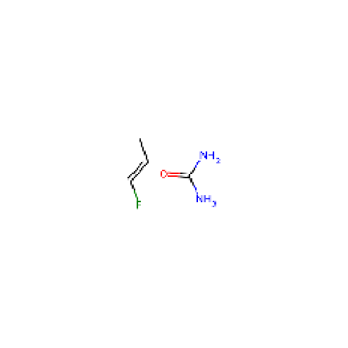 CC=CF.NC(N)=O